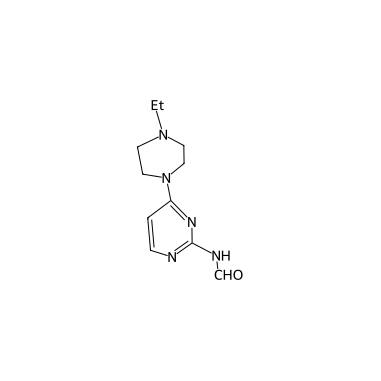 CCN1CCN(c2ccnc(NC=O)n2)CC1